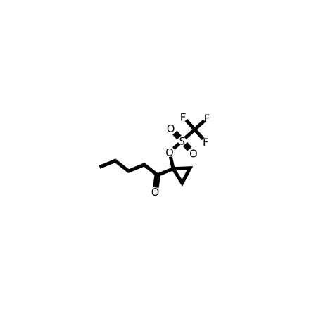 CCCCC(=O)C1(OS(=O)(=O)C(F)(F)F)CC1